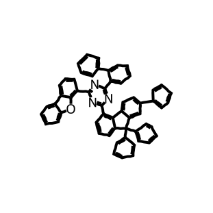 c1ccc(-c2ccc3c(c2)C(c2ccccc2)(c2ccccc2)c2cccc(-c4nc(-c5ccccc5-c5ccccc5)nc(-c5cccc6c5oc5ccccc56)n4)c2-3)cc1